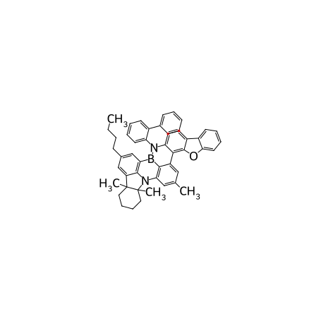 CCCCc1cc2c3c(c1)C1(C)CCCCC1(C)N3c1cc(C)cc3c1B2N(c1ccccc1-c1ccccc1)c1ccc2c(oc4ccccc42)c1-3